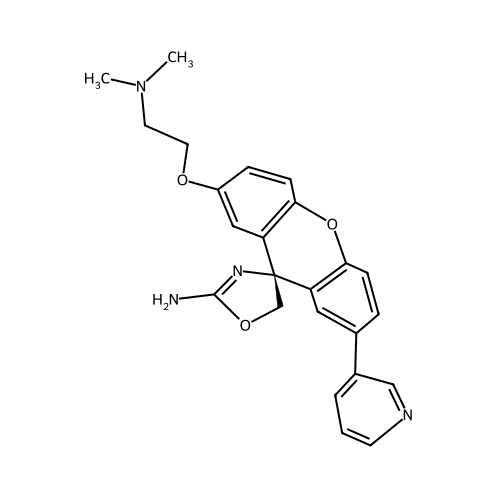 CN(C)CCOc1ccc2c(c1)[C@]1(COC(N)=N1)c1cc(-c3cccnc3)ccc1O2